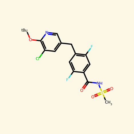 CC(C)(C)Oc1ncc(Cc2cc(F)c(C(=O)NS(C)(=O)=O)cc2F)cc1Cl